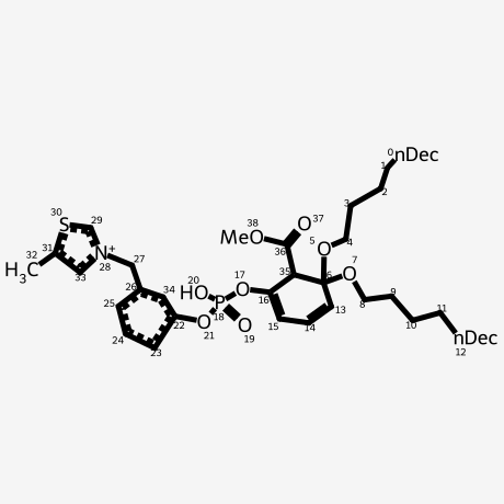 CCCCCCCCCCCCCCOC1(OCCCCCCCCCCCCCC)C=CC=C(OP(=O)(O)Oc2cccc(C[n+]3csc(C)c3)c2)C1C(=O)OC